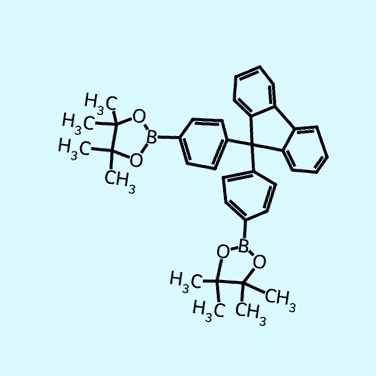 CC1(C)OB(c2ccc(C3(c4ccc(B5OC(C)(C)C(C)(C)O5)cc4)c4ccccc4-c4ccccc43)cc2)OC1(C)C